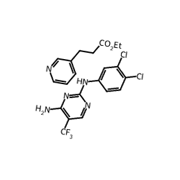 CCOC(=O)CCc1cccnc1.Nc1nc(Nc2ccc(Cl)c(Cl)c2)ncc1C(F)(F)F